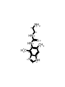 Cc1cc2[nH]cnc2c(C)c1NC(=S)NCCN